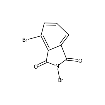 O=C1c2cccc(Br)c2C(=O)N1Br